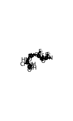 CC1CN(CCOc2ccc(N3C(=S)N(c4ccc(C#N)c(C(F)(F)F)c4)C(=O)C3(C)C)cc2CC(F)F)CCN1CC(=O)Nc1cc(Cl)cc(NC2CCC(=O)NC2=O)c1